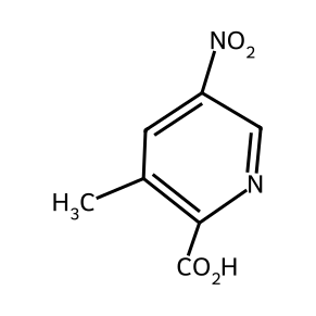 Cc1cc([N+](=O)[O-])cnc1C(=O)O